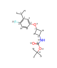 CC(C)c1cc(OC2CC(NC(=O)OC(C)(C)C)C2)ccc1F